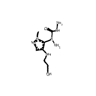 Cn1ncc(NCCO)c1N(N)C(=O)NN